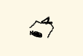 CCCCCCCC/C=C\CCCCCCCC(=O)[N+](C)(C)C(=O)CCCCCCC/C=C\CCCCCCCC.COS(=O)(=O)O